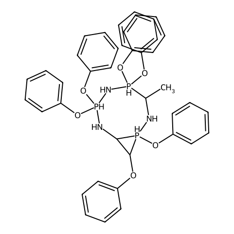 CC1N[PH]2(Oc3ccccc3)C(N[PH](Oc3ccccc3)(Oc3ccccc3)N[PH]1(Oc1ccccc1)Oc1ccccc1)C2Oc1ccccc1